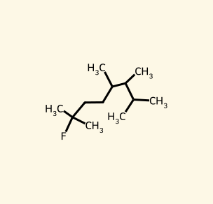 CC(C)C(C)C(C)CCC(C)(C)F